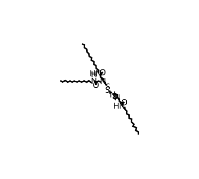 CCCCCCCCCCCCCCNC(=O)CCN(CCSSCCN1CCN(CCC(=O)NCCCCCCCCCCCCCC)CC1)CCC(=O)NCCCCCCCCCCCCCC